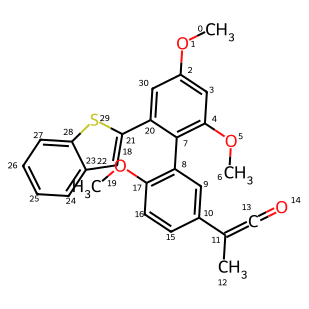 COc1cc(OC)c(-c2cc(C(C)=C=O)ccc2OC)c(-c2cc3ccccc3s2)c1